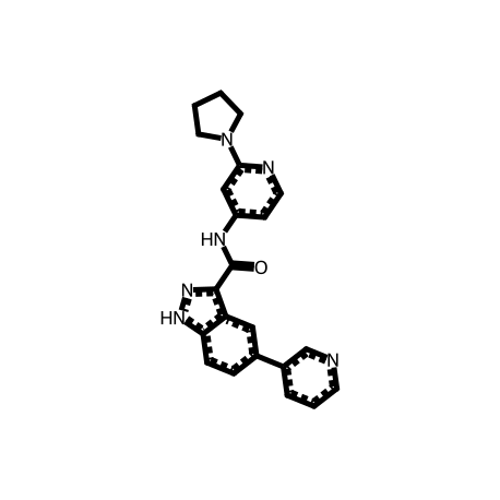 O=C(Nc1ccnc(N2CCCC2)c1)c1n[nH]c2ccc(-c3cccnc3)cc12